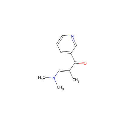 CC(=CN(C)C)C(=O)c1cccnc1